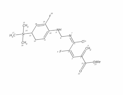 C=C(/C=C(F)\C(Cl)=N/CNC1=CCC([Si](C)(C)C)C=C1F)C(=O)OC